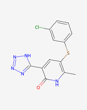 Cc1[nH]c(=O)c(-c2nnn[nH]2)cc1Sc1cccc(Cl)c1